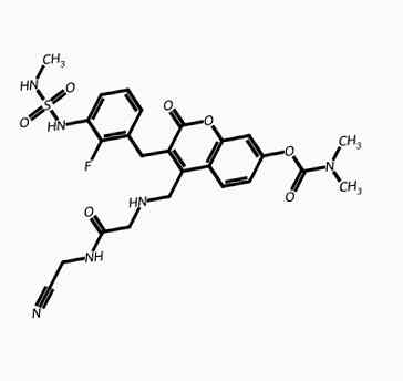 CNS(=O)(=O)Nc1cccc(Cc2c(CNCC(=O)NCC#N)c3ccc(OC(=O)N(C)C)cc3oc2=O)c1F